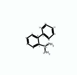 PN(P)c1ccccc1-c1ccccc1